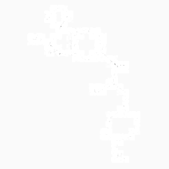 CC1CCC(CC(=O)Nc2ccc3c(c2)NC(=O)C32CCO2)CC1